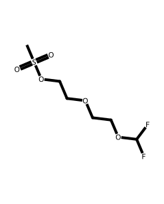 CS(=O)(=O)OCCOCCOC(F)F